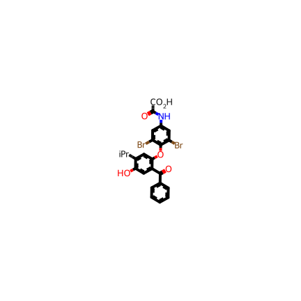 CC(C)c1cc(Oc2c(Br)cc(NC(=O)C(=O)O)cc2Br)c(C(=O)c2ccccc2)cc1O